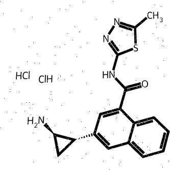 Cc1nnc(NC(=O)c2cc([C@@H]3C[C@H]3N)cc3ccccc23)s1.Cl.Cl